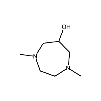 CN1CCN(C)CC(O)C1